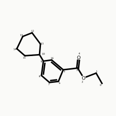 CCOC(=O)c1cccc(C2CCCCC2)c1